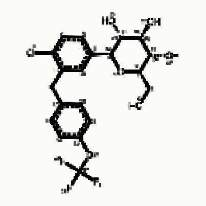 OC[C@H]1O[C@@H](c2ccc(Cl)c(Cc3ccc(OC(F)(F)F)cc3)c2)[C@H](O)[C@@H](O)[C@@H]1O